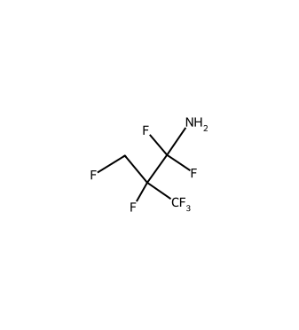 NC(F)(F)C(F)(CF)C(F)(F)F